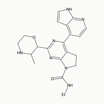 CCNC(=O)N1CCc2c(-c3ccnc4[nH]ccc34)nc(C3OCCNC3C)nc21